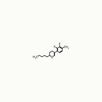 CCCCCC1CCC(c2ccc(C)c(F)c2F)=CO1